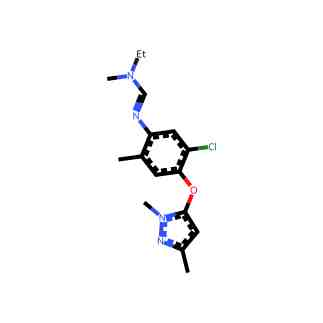 CCN(C)/C=N/c1cc(Cl)c(Oc2cc(C)nn2C)cc1C